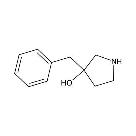 OC1(Cc2ccccc2)CCNC1